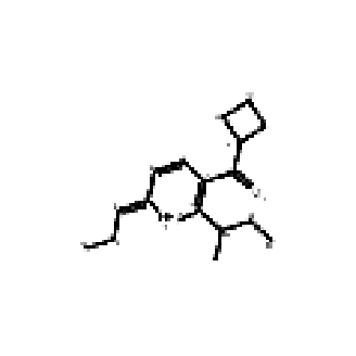 CC/C=C(N)/C=C\C(C(=O)C1CCC1)=C(/C)C(C)CC